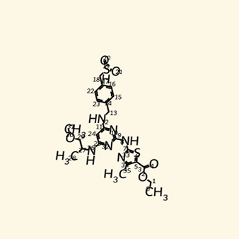 CCOC(=O)c1sc(Nc2nc(NCc3ccc(C[SH](=O)=O)cc3)cc(NC(C)COC)n2)nc1C